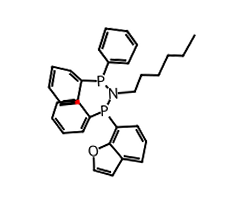 CCCCCCN(P(c1ccccc1)c1ccccc1)P(c1ccccc1)c1cccc2ccoc12